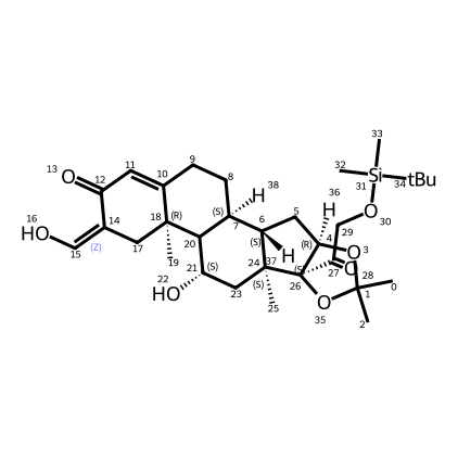 CC1(C)O[C@@H]2C[C@H]3[C@@H]4CCC5=CC(=O)/C(=C\O)C[C@]5(C)C4[C@@H](O)C[C@]3(C)[C@]2(C(=O)CO[Si](C)(C)C(C)(C)C)O1